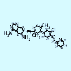 CN1CCC(C)(C#Cc2cc3ncnc(N)c3cc2N)CC1c1ccc(OCc2ccccn2)c(Cl)c1